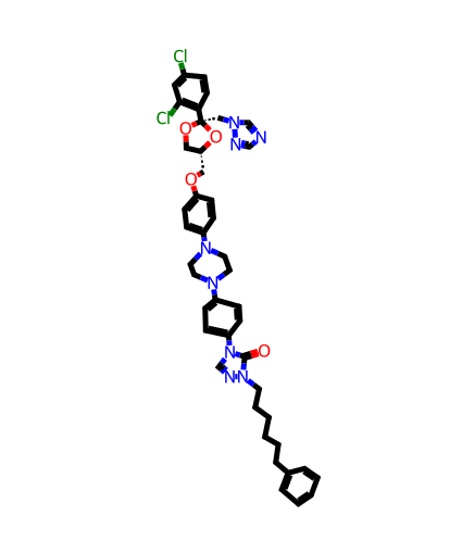 O=c1n(-c2ccc(N3CCN(c4ccc(OC[C@@H]5CO[C@@](Cn6cncn6)(c6ccc(Cl)cc6Cl)O5)cc4)CC3)cc2)cnn1CCCCCCc1ccccc1